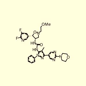 COCCN1C[C@@H](NC(=O)Nc2c(C)c(-c3cnc(N4CCOCC4)nc3)nn2-c2ccccc2)[C@H](c2cnc(F)c(F)c2)O1